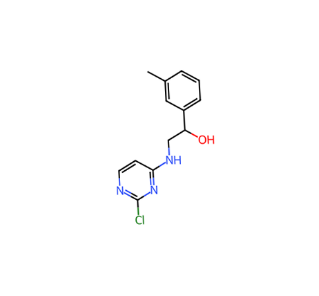 Cc1cccc(C(O)CNc2ccnc(Cl)n2)c1